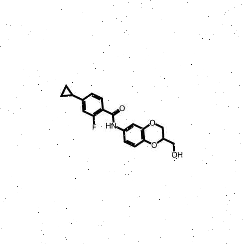 O=C(Nc1ccc2c(c1)OCC(CO)O2)c1ccc(C2CC2)cc1F